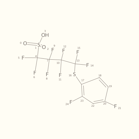 O=S(=O)(O)C(F)(F)C(F)(F)C(F)(F)C(F)(F)Sc1ccc(F)cc1F